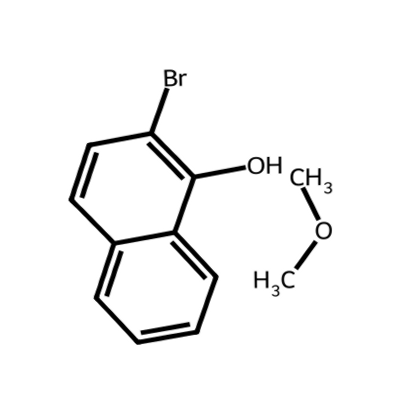 COC.Oc1c(Br)ccc2ccccc12